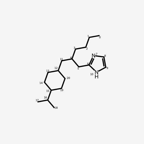 CCCCC(Cc1ncc[nH]1)CC1CCC(C(C)C)CC1